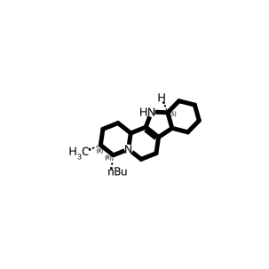 CCCC[C@@H]1[C@H](C)CCC2C3=C(CCN21)C1CCCC[C@@H]1N3